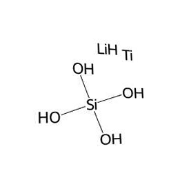 O[Si](O)(O)O.[LiH].[Ti]